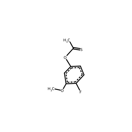 COc1cc(OC(C)=S)ccc1F